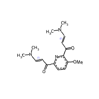 COc1ccc(C(=O)/C=C/N(C)C)nc1C(=O)/C=C/N(C)C